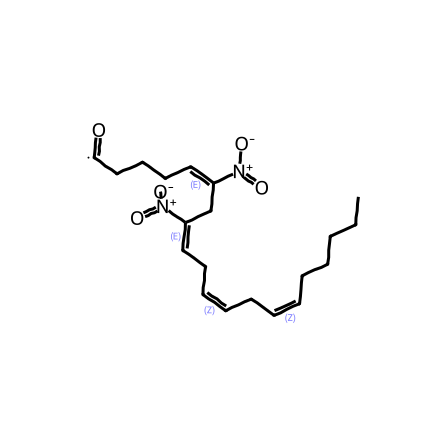 CCCCC/C=C\C/C=C\C/C=C(\C/C(=C\CCC[C]=O)[N+](=O)[O-])[N+](=O)[O-]